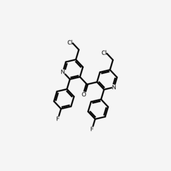 O=C(c1cc(CCl)cnc1-c1ccc(F)cc1)c1cc(CCl)cnc1-c1ccc(F)cc1